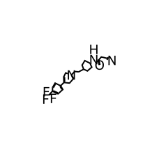 N#CCC(=O)NC1CCC(CCN2CC=C(c3ccc(C(F)(F)F)cc3)CC2)CC1